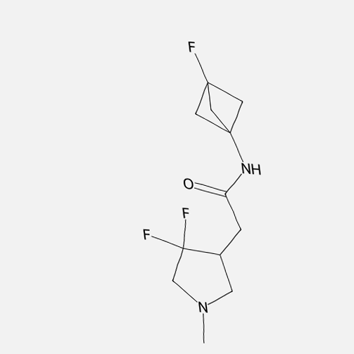 CN1CC(CC(=O)NC23CC(F)(C2)C3)C(F)(F)C1